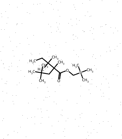 CCC(C)(C)C(C)(CC(C)(C)C)C(=O)OC[Si](C)(C)C